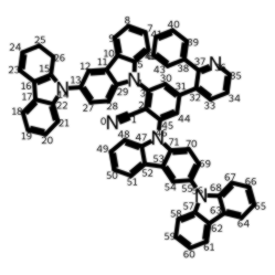 N#Cc1c(-n2c3ccccc3c3cc(-n4c5c(c6ccccc64)C=CCC5)ccc32)cc(-c2cccnc2-c2ccccc2)cc1-n1c2ccccc2c2cc(-n3c4ccccc4c4ccccc43)ccc21